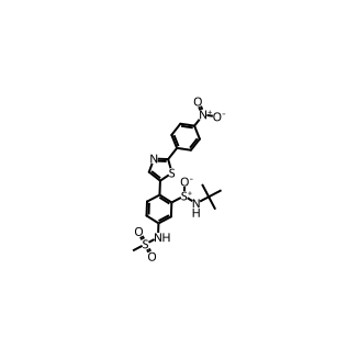 CC(C)(C)N[S+]([O-])c1cc(NS(C)(=O)=O)ccc1-c1cnc(-c2ccc([N+](=O)[O-])cc2)s1